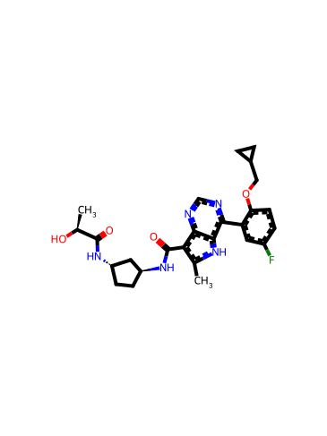 Cc1[nH]c2c(-c3cc(F)ccc3OCC3CC3)ncnc2c1C(=O)N[C@H]1CC[C@H](NC(=O)[C@H](C)O)C1